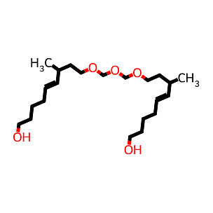 CC(C=CCCCCO)CCOCOCOCCC(C)C=CCCCCO